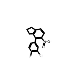 O=[N+]([O-])c1ccc2c(c1-c1ccc(F)c(Cl)c1)CCC2